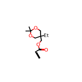 C=CC(=O)OCC1(CC)COC(C)(C)OC1